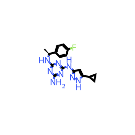 C[C@H](Nc1nc(N)nc(Nc2cc(C3CC3)[nH]n2)n1)c1ccc(F)cc1